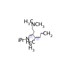 C=C/C=C(C)\C(=C/N(C)C(C)C)CCN(C)C